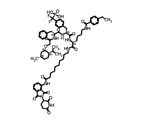 CCc1ccc(C(=O)NCCCC[C@H](NC(=O)[C@H](Cc2ccc(C(F)(F)P(=O)(O)O)cc2)NC(=O)[C@H](Cc2ccccc2)NC(=O)CO[C@H]2C[C@@H](C)CC[C@@H]2C(C)C)C(=O)NCCCCCCCCCC(=O)Nc2cccc3c2C(=O)N(C2CCC(=O)NC2=O)C3=O)cc1